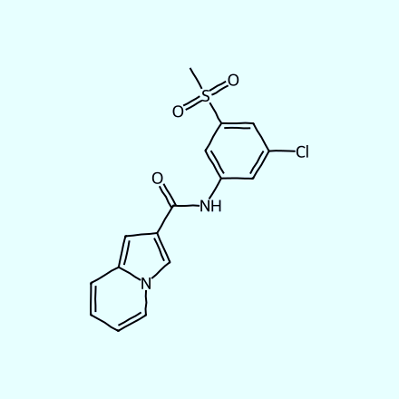 CS(=O)(=O)c1cc(Cl)cc(NC(=O)c2cc3ccccn3c2)c1